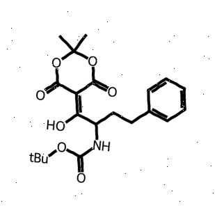 CC(C)(C)OC(=O)NC(CCc1ccccc1)C(O)=C1C(=O)OC(C)(C)OC1=O